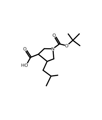 CC(C)CC1CN(C(=O)OC(C)(C)C)CC1C(=O)O